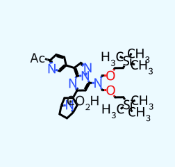 CC(=O)c1ccc(-c2cnn3c(N(COCC[Si](C)(C)C)COCC[Si](C)(C)C)cc(C4CC5CCC(C4)N5C(=O)O)nc23)cn1